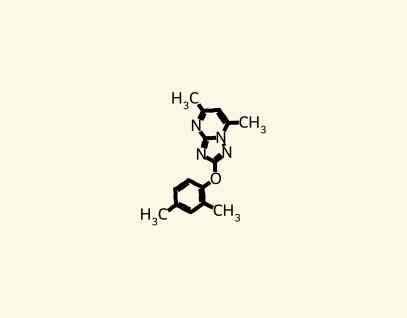 Cc1ccc(Oc2nc3nc(C)cc(C)n3n2)c(C)c1